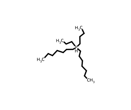 CCCCCCC[PH](CCC)(CCCC)CCCCCCC